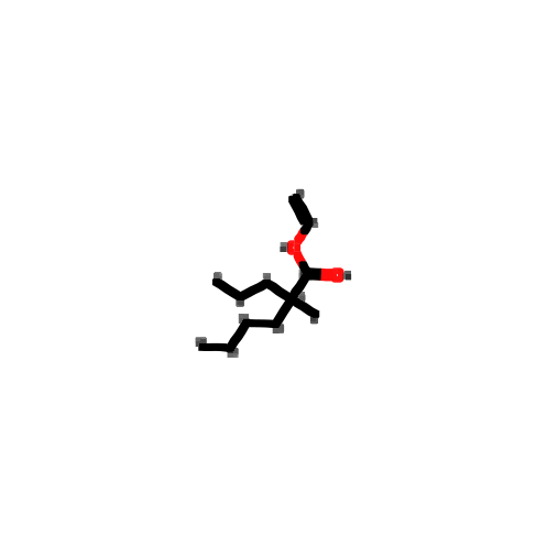 C=COC(=O)C(C)(CCC)CCCC